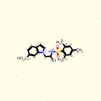 CCC(Cn1ccc2ccc(C(=O)O)cc21)NS(=O)(=O)c1c(C)cc(C)cc1C